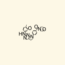 COc1cc(Nc2ncc3c(n2)N(c2ccc(C(=O)N4CCOCC4)cc2)CC3)ccc1C